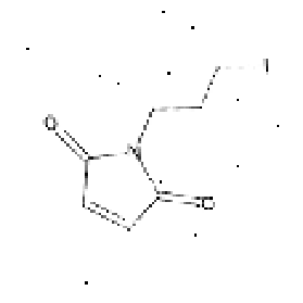 O=C1C=CC(=O)N1CCCI